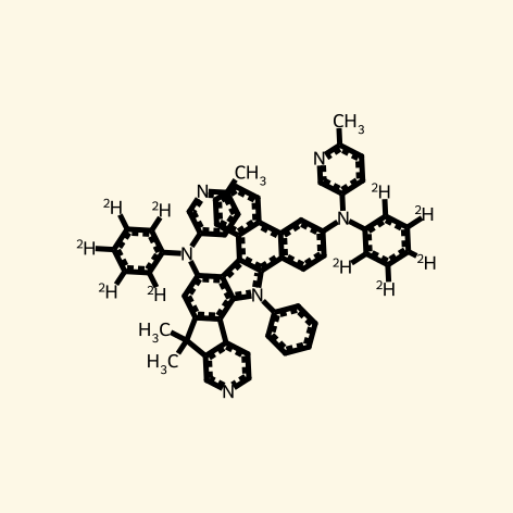 [2H]c1c([2H])c([2H])c(N(c2ccc(C)nc2)c2ccc3c(c2)c2ccccc2c2c4c(N(c5ccc(C)nc5)c5c([2H])c([2H])c([2H])c([2H])c5[2H])cc5c(c4n(-c4ccccc4)c32)-c2ccncc2C5(C)C)c([2H])c1[2H]